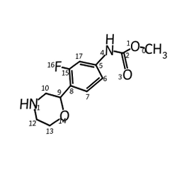 COC(=O)Nc1ccc(C2CNCCO2)c(F)c1